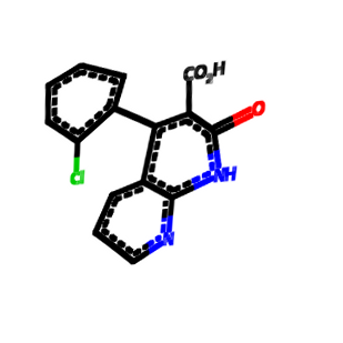 O=C(O)c1c(-c2ccccc2Cl)c2cccnc2[nH]c1=O